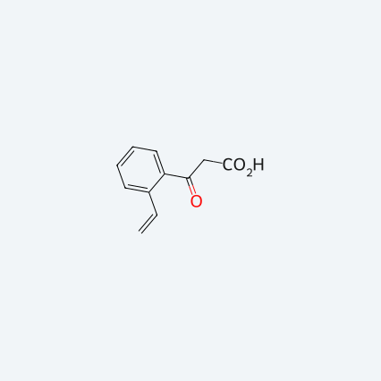 C=Cc1ccccc1C(=O)CC(=O)O